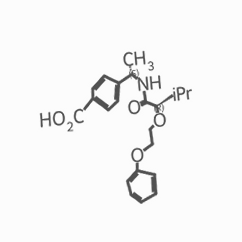 CC(C)[C@@H](OCCOc1ccccc1)C(=O)N[C@@H](C)c1ccc(C(=O)O)cc1